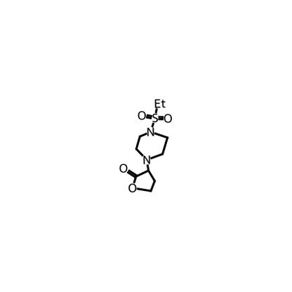 CCS(=O)(=O)N1CCN(C2CCOC2=O)CC1